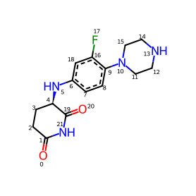 O=C1CC[C@@H](Nc2ccc(N3CCNCC3)c(F)c2)C(=O)N1